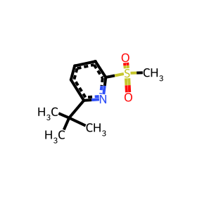 CC(C)(C)c1cccc(S(C)(=O)=O)n1